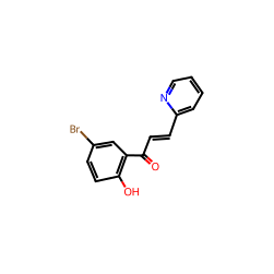 O=C(/C=C/c1ccccn1)c1cc(Br)ccc1O